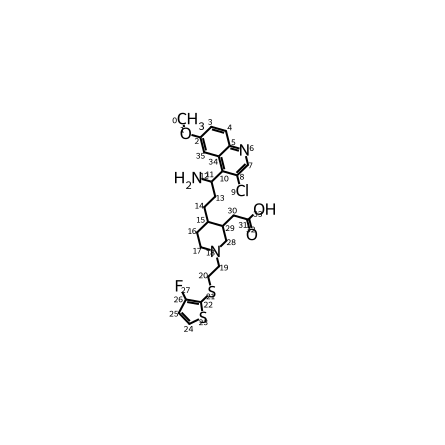 COc1ccc2ncc(Cl)c(C(N)CCC3CCN(CCSc4sccc4F)CC3CC(=O)O)c2c1